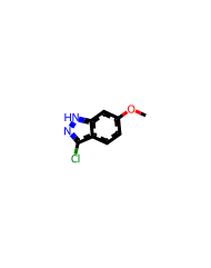 COc1ccc2c(Cl)n[nH]c2c1